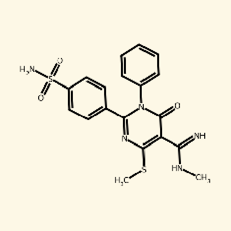 CNC(=N)c1c(SC)nc(-c2ccc(S(N)(=O)=O)cc2)n(-c2ccccc2)c1=O